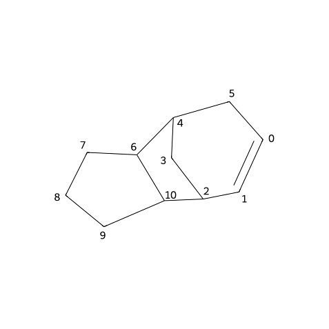 C1=CC2CC(C1)C1CCCC21